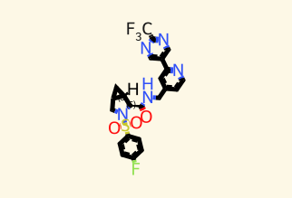 O=C(NCc1ccnc(-c2cnc(C(F)(F)F)nc2)c1)[C@@H]1[C@H]2CC2CN1S(=O)(=O)c1ccc(F)cc1